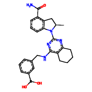 CC1Cc2c(C(N)=O)cccc2N1c1nc2c(c(NCc3cccc(B(O)O)c3)n1)CCCC2